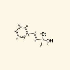 CC[C@@](C)(O)/C=C/c1ccccc1